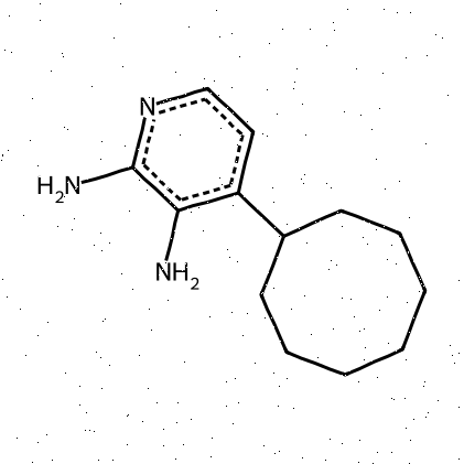 Nc1nccc(C2CCCCCCC2)c1N